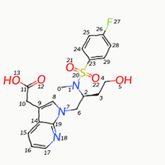 CN([C@@H](CCO)Cn1cc(CC(=O)O)c2cccnc21)S(=O)(=O)c1ccc(F)cc1